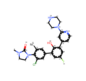 CN1CCN(c2c(Cl)cc(-c3cc(F)cc(-c4ccnc(N5CCNCC5)c4)c3O)cc2C#N)C1=O